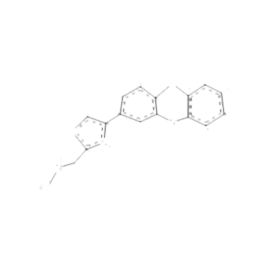 CCCNCc1nc(-c2ccc3c(c2)Nc2ccccc2S3)cs1